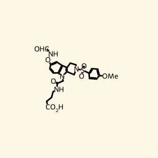 COc1ccc(S(=O)(=O)N2CCc3c(n(CC(=O)NCCCC(=O)O)c4ccc(ONC=O)cc34)C2)cc1